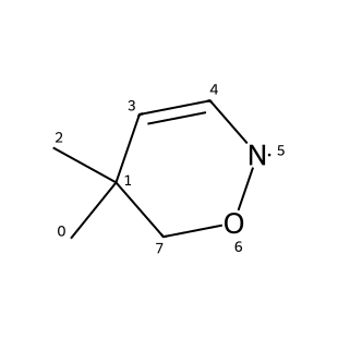 CC1(C)C=C[N]OC1